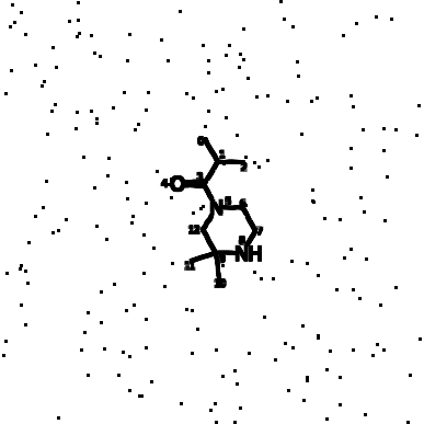 CC(C)C(=O)N1CCNC(C)(C)C1